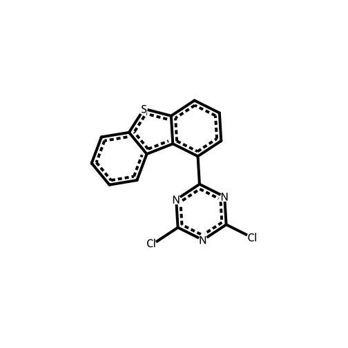 Clc1nc(Cl)nc(-c2cccc3sc4ccccc4c23)n1